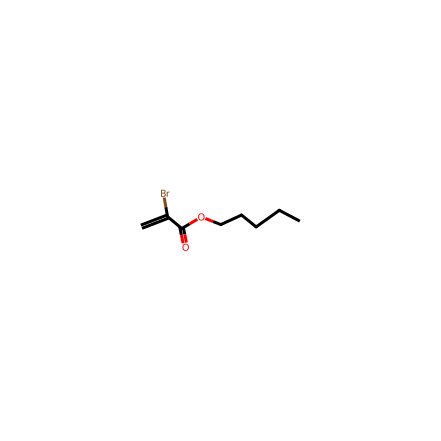 C=C(Br)C(=O)OCCCCC